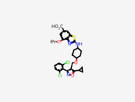 CC(C)Oc1cc(C(=O)O)cc2sc(NC3CCC(OCc4c(-c5c(Cl)cccc5Cl)noc4C4CC4)CC3)nc12